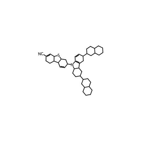 N#CC1=CC2SC3CC(N4C5=C(CC(C6CCC7CCCCC7C6)C=C5)C5CC(C6CCC7CCCCC7C6)CCC54)C=CC3C2CC1